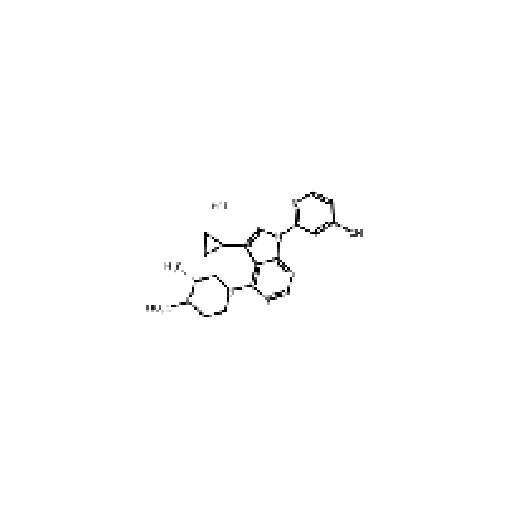 C[C@@H]1CN(c2ncnc3c2c(C2CC2)cn3-c2cc(C#N)ccn2)CCN1C(=O)O.Cl